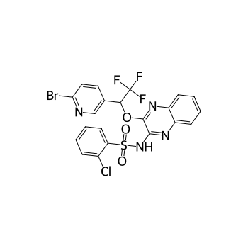 O=S(=O)(Nc1nc2ccccc2nc1OC(c1ccc(Br)nc1)C(F)(F)F)c1ccccc1Cl